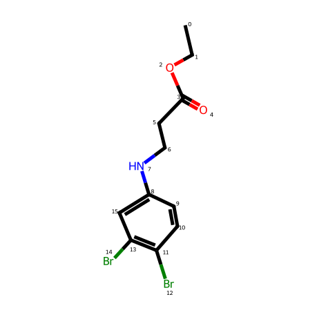 CCOC(=O)CCNc1ccc(Br)c(Br)c1